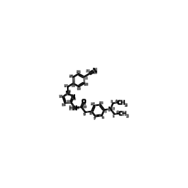 CCN(CC)c1ccc(CC(=O)Nc2ccn(Cc3ccc(C#N)cc3)n2)cc1